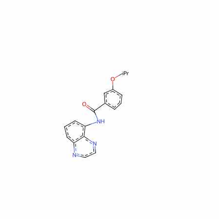 CC(C)Oc1cccc(C(=O)Nc2cccc3nccnc23)c1